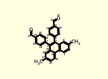 Cc1ccc2c(c1)c(-c1ccc(C=O)cc1)c(-c1ccc(C=O)cc1)c1cc(C)ccc12